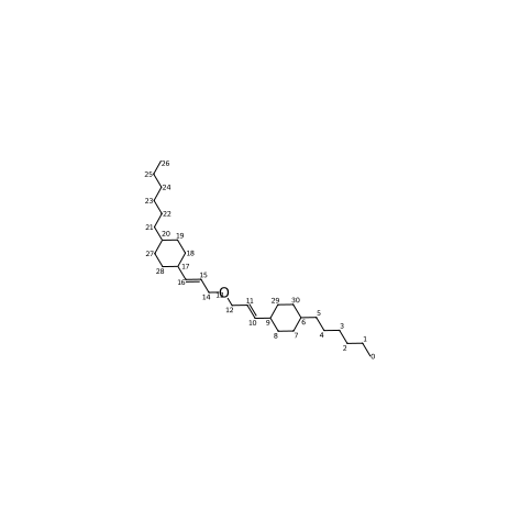 CCCCCCC1CCC(/C=C/COC/C=C/C2CCC(CCCCCC)CC2)CC1